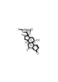 CCCCCCCCCC(=O)O[C@]1(C(=O)SCF)[C@H](C)C[C@H]2[C@@H]3C[C@H](F)C4=CC(=O)C=C[C@]4(C)[C@@]3(F)[C@@H](O)C[C@@]21C